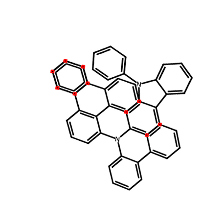 c1ccc(-c2ccccc2-c2c(-c3ccccc3)cccc2N(c2ccc3c4ccccc4n(-c4ccccc4)c3c2)c2ccccc2-c2ccccc2)cc1